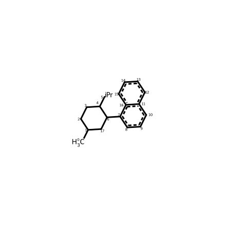 CC1CCC(C(C)C)C(c2cccc3ccccc23)C1